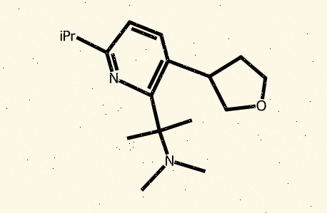 CC(C)c1ccc(C2CCOC2)c(C(C)(C)N(C)C)n1